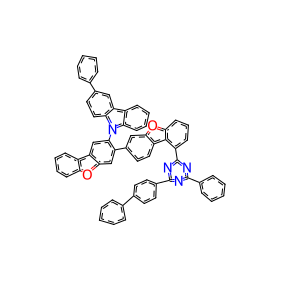 c1ccc(-c2ccc(-c3nc(-c4ccccc4)nc(-c4cccc5oc6cc(-c7cc8oc9ccccc9c8cc7-n7c8ccccc8c8cc(-c9ccccc9)ccc87)ccc6c45)n3)cc2)cc1